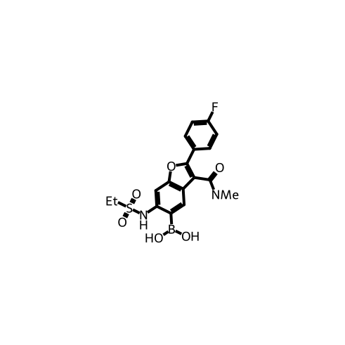 CCS(=O)(=O)Nc1cc2oc(-c3ccc(F)cc3)c(C(=O)NC)c2cc1B(O)O